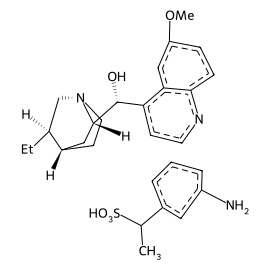 CC(c1cccc(N)c1)S(=O)(=O)O.CC[C@H]1C[N@]2CC[C@H]1C[C@H]2[C@H](O)c1ccnc2ccc(OC)cc12